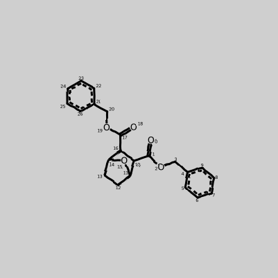 O=C(OCc1ccccc1)C1C2CCC(O2)C1C(=O)OCc1ccccc1